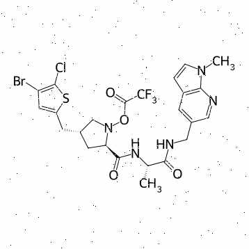 C[C@H](NC(=O)[C@H]1C[C@H](Cc2cc(Br)c(Cl)s2)CN1OC(=O)C(F)(F)F)C(=O)NCc1cnc2c(ccn2C)c1